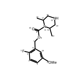 COc1ccc(F)c(COC(=O)N2C(C)CNCC2C)c1